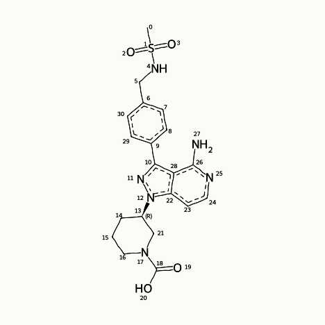 CS(=O)(=O)NCc1ccc(-c2nn([C@@H]3CCCN(C(=O)O)C3)c3ccnc(N)c23)cc1